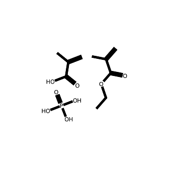 C=C(C)C(=O)O.C=C(C)C(=O)OCC.O=P(O)(O)O